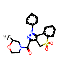 CC1CN(C(=O)c2nn(-c3ccccc3)c3c2CS(=O)(=O)c2ccccc2-3)CCO1